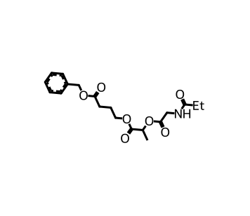 CCC(=O)NCC(=O)OC(C)C(=O)OCCCC(=O)OCc1ccccc1